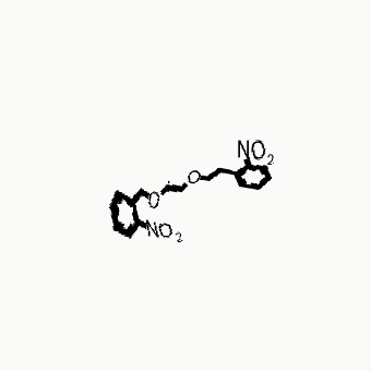 O=[N+]([O-])c1ccccc1CCOC[CH]OCc1ccccc1[N+](=O)[O-]